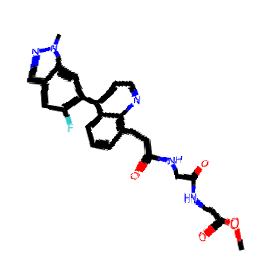 COC(=O)CNC(=O)CNC(=O)Cc1cccc2c(-c3cc4c(cnn4C)cc3F)ccnc12